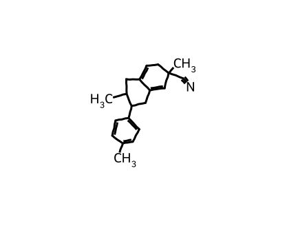 Cc1ccc(C2CC3=CC(C)(C#N)CC=C3CC2C)cc1